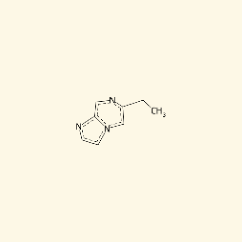 CCc1cn2ccnc2cn1